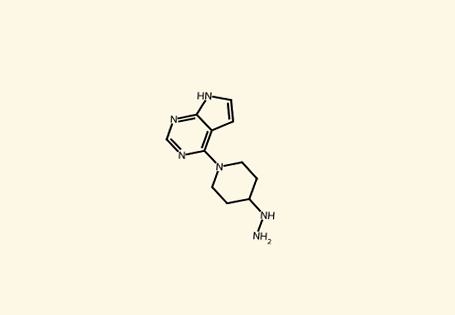 NNC1CCN(c2ncnc3[nH]ccc23)CC1